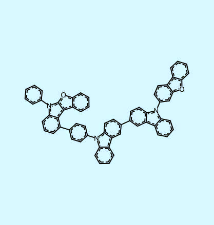 c1ccc(-n2c3cccc(-c4ccc(-n5c6ccccc6c6cc(-c7ccc8c(c7)c7ccccc7n8-c7ccc8c(c7)oc7ccccc78)ccc65)cc4)c3c3c4ccccc4oc32)cc1